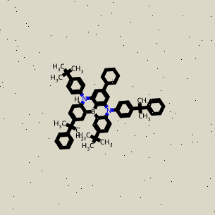 CC(C)(C)C1=CC2B3c4c(cc(C5CCCCC5)cc4N(c4ccc(C(C)(C)C)cc4)[C@@H]4CC=C(C(C)(C)c5ccccc5)CC34)N(c3ccc(C(C)(C)C4=CCCC=C4)cc3)C2C=C1